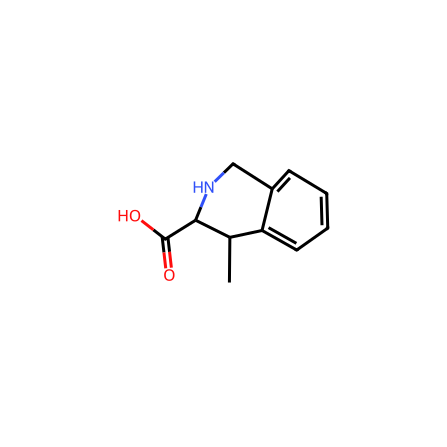 CC1c2ccccc2CNC1C(=O)O